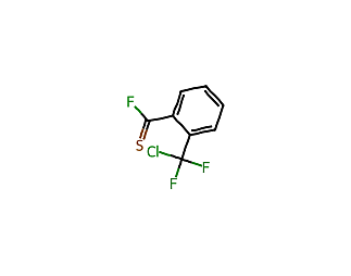 FC(=S)c1ccccc1C(F)(F)Cl